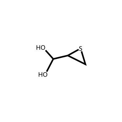 OC(O)C1CS1